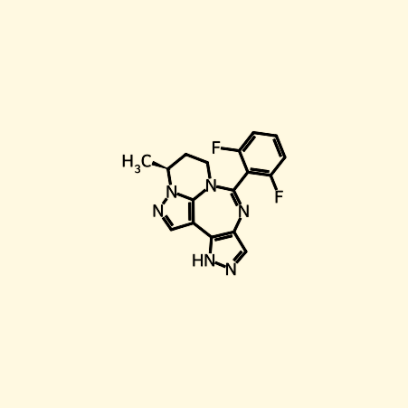 C[C@H]1CCN2C(c3c(F)cccc3F)=Nc3cn[nH]c3-c3cnn1c32